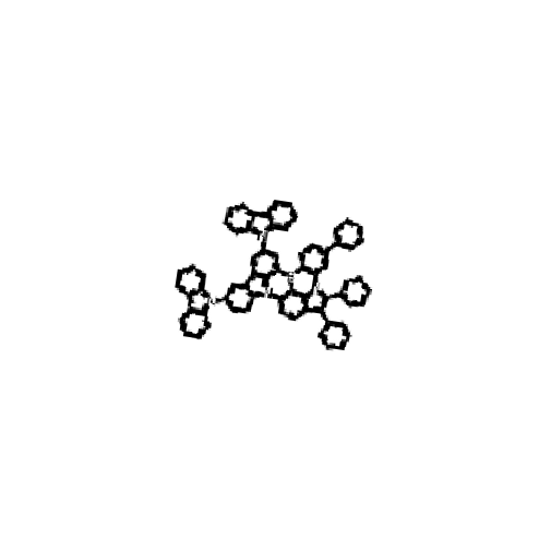 c1ccc(-c2ccc3c(c2)-n2c(-c4ccccc4)c(-c4ccccc4)c4ccc5c(c42)B3c2cc(-n3c4ccccc4c4ccccc43)cc3c4cc(-n6c7ccccc7c7ccccc76)ccc4n-5c23)cc1